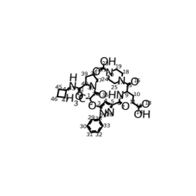 C[C@H](Oc1cc(C(=O)NC(CCC(=O)O)C(=O)N2CCN(C(=O)O)CC2)nn1-c1ccccc1)C(=O)N1CCCC1C(=O)NC1CCC1